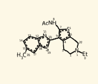 CCN1CCc2c(sc(NC(C)=O)c2-c2nc3ccc(C)cc3s2)C1